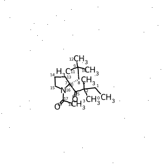 CCC(C)(C)C(=O)[C@]1(CC(C)(C)C)CCCN1C(C)=O